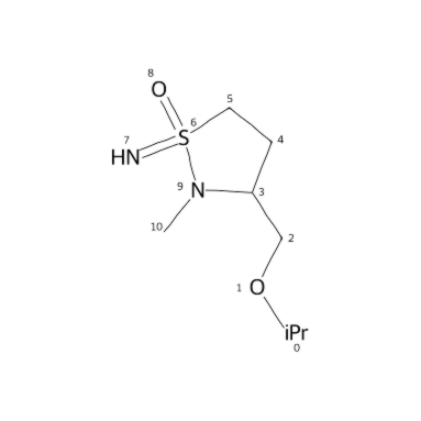 CC(C)OCC1CCS(=N)(=O)N1C